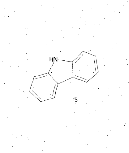 [S].c1ccc2c(c1)[nH]c1ccccc12